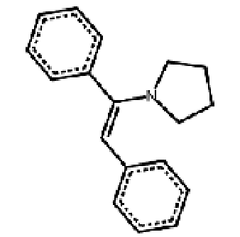 C(=C(c1ccccc1)N1CCCC1)c1ccccc1